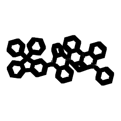 c1ccc(N2c3ccccc3B3c4ccccc4[Si]4(c5ccccc5B(c5ccc6c(c5)C(c5ccccc5)(c5ccccc5)c5ccccc5-6)c5ccccc54)c4cccc2c43)cc1